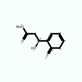 COC(=O)C[C@H](O)C1=CC=CCC1=S